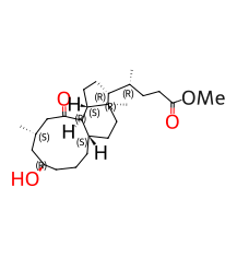 COC(=O)CC[C@@H](C)[C@H]1CC[C@H]2[C@@H]3C(=O)C[C@@H](C)C[C@H](O)CCC[C@H]3CC[C@]12C